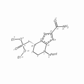 CCCCCN1CC[C@H](CP(=O)(OCC)OCC)n2cc(C(N)=O)nc21